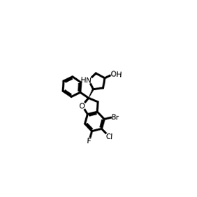 OC1CNC([C@@]2(c3ccccc3)Cc3c(cc(F)c(Cl)c3Br)O2)C1